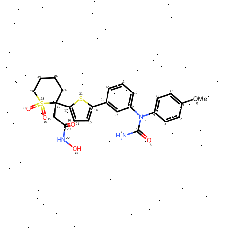 COc1ccc(N(C(N)=O)c2cccc(-c3ccc([C@@]4(CC(=O)NO)CCCCS4(=O)=O)s3)c2)cc1